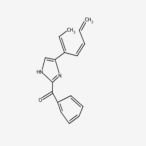 C=C/C=C\C(=C/C)c1c[nH]c(C(=O)c2ccccc2)n1